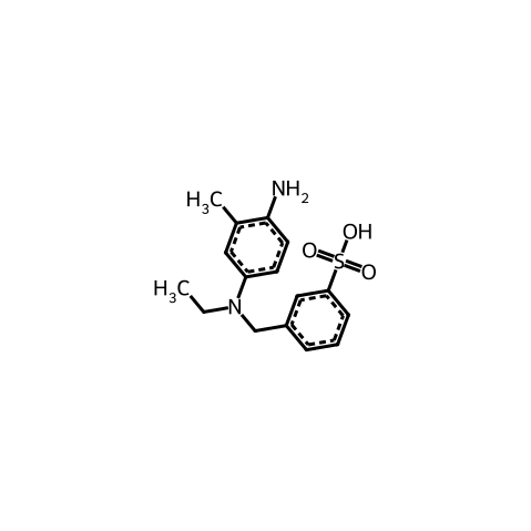 CCN(Cc1cccc(S(=O)(=O)O)c1)c1ccc(N)c(C)c1